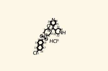 Cl.O=C1CCN(S(=O)(=O)c2ccc3cc(Cl)ccc3c2)CCN1C(c1ccncc1)C1CCNCC1